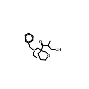 CCN(Cc1ccccc1)CC1(C(=O)C(C)CO)CCCOC1